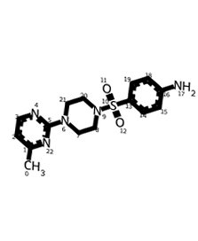 Cc1ccnc(N2CCN(S(=O)(=O)c3ccc(N)cc3)CC2)n1